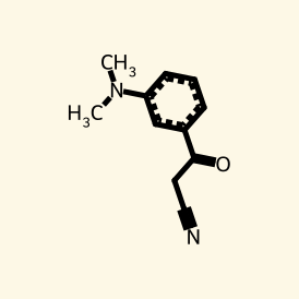 CN(C)c1cccc(C(=O)CC#N)c1